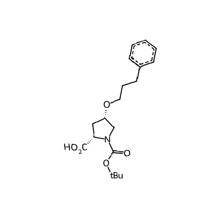 CC(C)(C)OC(=O)N1C[C@@H](OCCCc2ccccc2)C[C@H]1C(=O)O